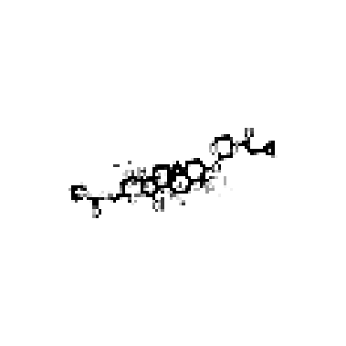 C[C@@H]1CC(COC(=O)N2CCC2)OC2[C@H]1C1(C)CCC34CC35CCC(O[C@H]3CN(C(=O)CC6CC6)CCO3)C(C)(C)[C@@H]5CCC4[C@]1(C)[C@H]2O